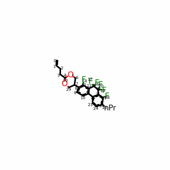 C=CCCC1OCC(c2ccc3c(c2F)C(F)(F)C(F)(F)c2c-3ccc(CCC)c2F)CO1